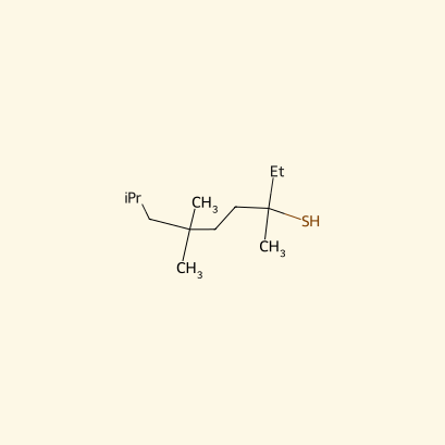 CCC(C)(S)CCC(C)(C)CC(C)C